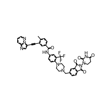 Cc1ccc(C(=O)Nc2ccc(N3CCN(Cc4ccc5c(c4)C(=O)N(N4CCC(=O)NC4=O)C5=O)CC3)c(C(F)(F)F)c2)cc1C#Cc1cnc2cccnn12